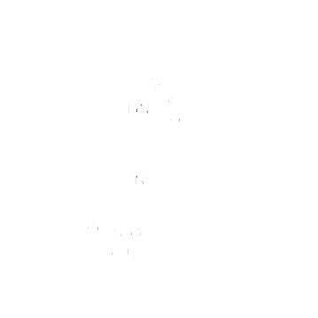 CS(=O)(=O)CCN1CCC(NS(=O)(=O)c2ccccc2)CC1